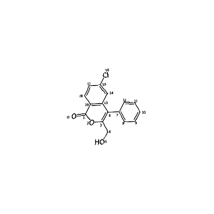 O=c1oc(CO)c(-c2ccccc2)c2cc(Cl)ccc12